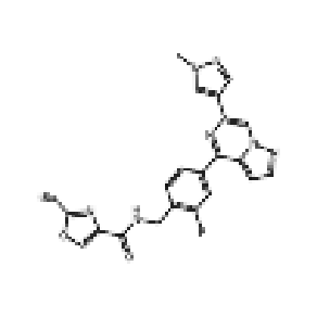 Cn1cc(-c2cn3nccc3c(-c3ccc(CNC(=O)c4coc(C(C)(C)C)n4)c(F)c3)n2)cn1